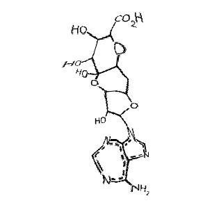 Nc1ncnc2c1ncn2C1OC2CC3OC(C(=O)O)C(O)C(O)C3(O)OC2C1O